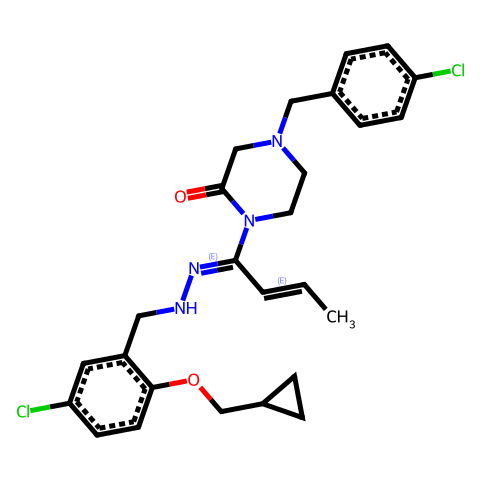 C/C=C/C(=N\NCc1cc(Cl)ccc1OCC1CC1)N1CCN(Cc2ccc(Cl)cc2)CC1=O